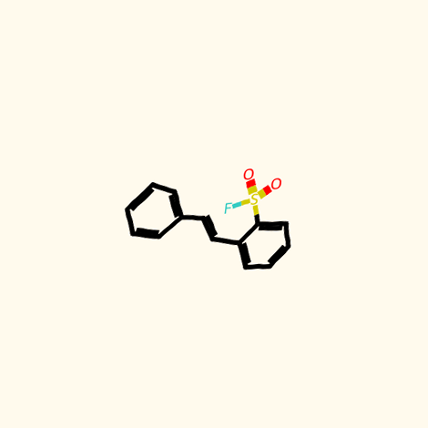 O=S(=O)(F)c1ccccc1C=Cc1ccccc1